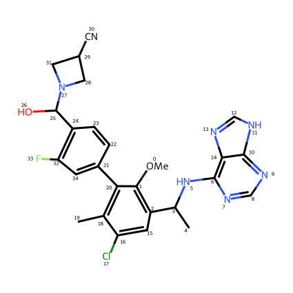 COc1c(C(C)Nc2ncnc3[nH]cnc23)cc(Cl)c(C)c1-c1ccc(C(O)N2CC(C#N)C2)c(F)c1